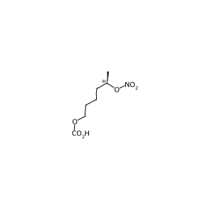 C[C@H](CCCCOC(=O)O)O[N+](=O)[O-]